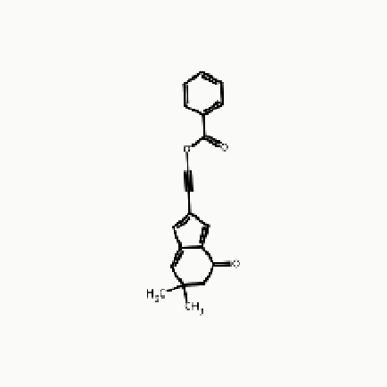 CC1(C)C=C2C=C(C#COC(=O)c3ccccc3)C=C2C(=O)C1